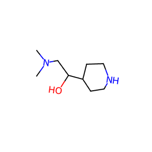 CN(C)CC(O)C1CCNCC1